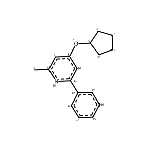 Cc1cc(OC2CCCC2)cc(-c2ccccc2)n1